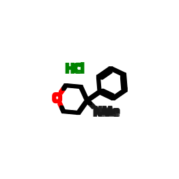 CNC1(c2ccccc2)CCOCC1.Cl